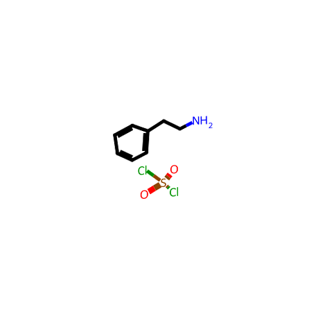 NCCc1ccccc1.O=S(=O)(Cl)Cl